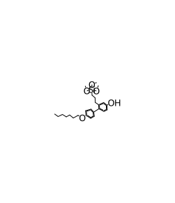 CCCCCCCOc1ccc(-c2ccc(O)cc2CCC[Si](OC)(OC)OC)cc1